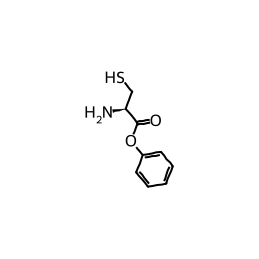 N[C@@H](CS)C(=O)Oc1ccccc1